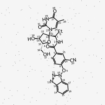 CCC(NC(=O)c1ccc(On2nnc3ccccc32)c(C#N)c1)[C@]1(n2cc(C)c(=O)[nH]c2=O)C[C@H](O)[C@@H](CO)O1